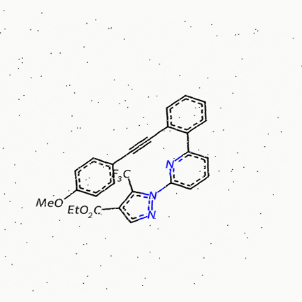 CCOC(=O)c1cnn(-c2cccc(-c3ccccc3C#Cc3ccc(OC)cc3)n2)c1C(F)(F)F